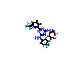 FC1(F)CCC(Nc2nc(NC3CCOCC3)nc(-c3cccc(C(F)(F)F)n3)n2)CC1